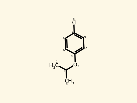 C[C](C)Oc1ccc(Cl)cc1